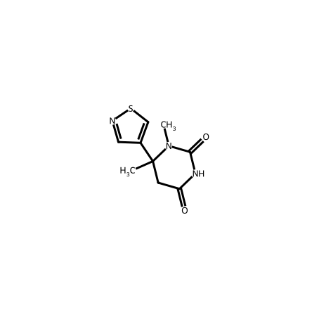 CN1C(=O)NC(=O)CC1(C)c1cnsc1